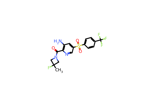 CC1(F)CN(C(=O)c2ncc(S(=O)(=O)c3ccc(C(F)(F)F)cc3)cc2N)C1